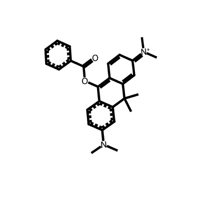 CN(C)c1ccc2c(c1)C(C)(C)C1=CC(=[N+](C)C)C=CC1=C2OC(=O)c1ccccc1